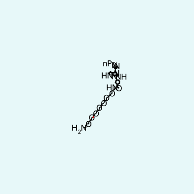 CCCn1cc(-c2nc(Nc3ccc(C(=O)NCCOCCOCCOCCOCCOCCOCCOCCN)cc3)nc3[nH]ccc23)cn1